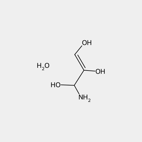 NC(O)C(O)=CO.O